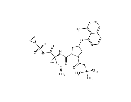 C=C[C@@H]1C[C@]1(NC(=O)C1CC(Oc2nccc3cccc(C)c23)CN1C(=O)OC(C)(C)C)C(=O)NS(=O)(=O)C1CC1